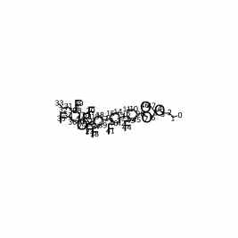 CCCCOC1COC(c2ccc(-c3ccc(-c4cc(F)c(C(F)(F)Oc5cc(F)c(CCC)c(F)c5)c(F)c4)c(F)c3)c(F)c2)OC1